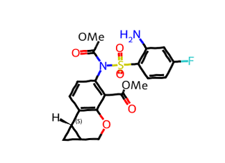 COC(=O)c1c(N(C(=O)OC)S(=O)(=O)c2ccc(F)cc2N)ccc2c1OCC1C[C@H]21